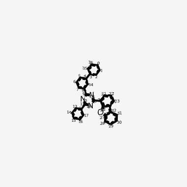 c1ccc(-c2cccc(-c3nc(-c4ccccc4)nc(-c4cccc5c4oc4ccccc45)n3)c2)cc1